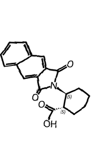 O=C(O)[C@H]1CCCC[C@@H]1N1C(=O)c2cc3ccccc3cc2C1=O